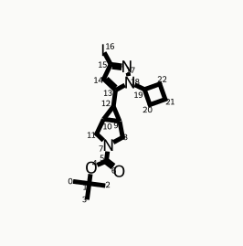 CC(C)(C)OC(=O)N1CC2C(C1)C2c1cc(I)nn1C1CCC1